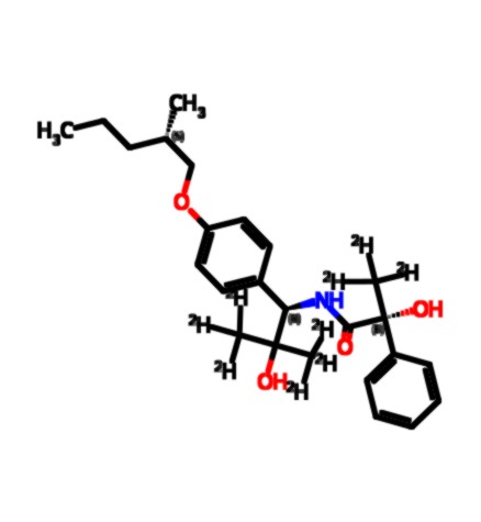 [2H]C([2H])([2H])C(O)([C@H](NC(=O)[C@](O)(c1ccccc1)C([2H])([2H])[2H])c1ccc(OC[C@@H](C)CCC)cc1)C([2H])([2H])[2H]